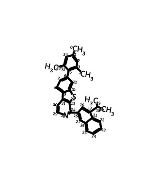 Cc1cc(C)c(-c2ccc3c(c2)sc2c(-c4cc(C(C)C)c5ccccc5c4)nccc23)c(C)c1